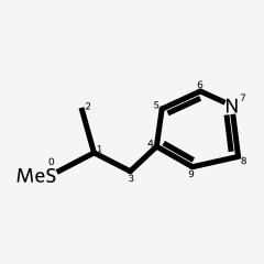 CSC(C)Cc1ccncc1